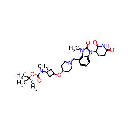 CN(C(=O)OC(C)(C)C)C1CC(OC2CCN(Cc3cccc4c3n(C)c(=O)n4C3CCC(=O)NC3=O)CC2)C1